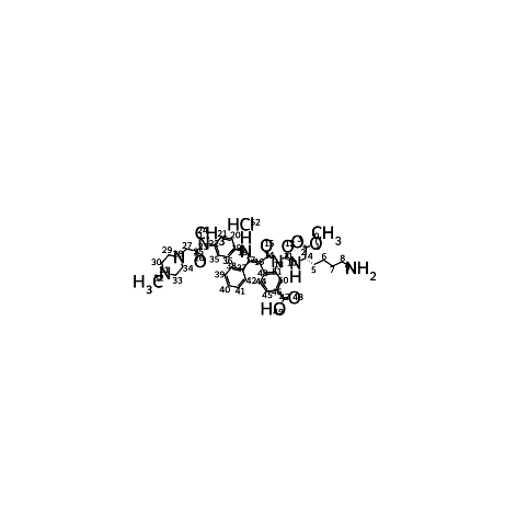 COC(=O)[C@H](CCCCN)NC(=O)N1C(=O)/C(=C(\Nc2ccc(N(C)C(=O)CN3CCN(C)CC3)cc2)c2ccccc2)c2ccc(C(=O)O)cc21.Cl